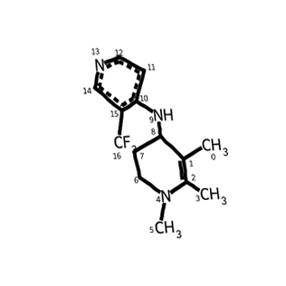 CC1=C(C)N(C)CCC1Nc1ccncc1C(F)(F)F